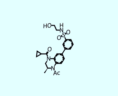 CC(=O)N1c2ccc(-c3cccc(S(=O)(=O)NCCO)c3)cc2N(C(=O)C2CC2)C[C@@H]1C